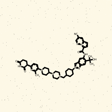 Cc1nc(C2CCC(=O)NC2=O)ccc1N1CCC(N2CCN(CC3CCC(n4cc5cc(NC(=O)c6ccc7cc(C#N)cnn67)c(C(C)(C)O)cc5n4)CC3)CC2)CC1